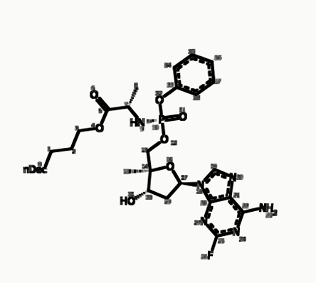 CCCCCCCCCCCCCOC(=O)[C@H](C)N[P@](=O)(OC[C@@]1(C)O[C@@H](n2cnc3c(N)nc(F)nc32)C[C@@H]1O)Oc1ccccc1